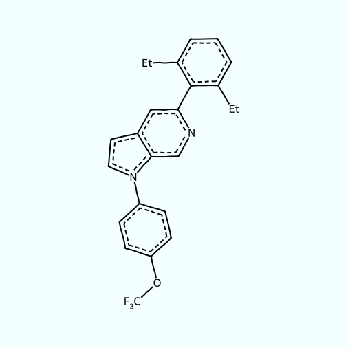 CCc1cccc(CC)c1-c1cc2ccn(-c3ccc(OC(F)(F)F)cc3)c2cn1